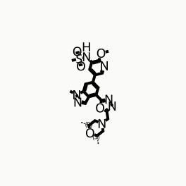 COc1ncc(-c2cc(-c3nnc(CN4C[C@@H](C)O[C@@H](C)C4)o3)c3cnn(C)c3c2)cc1NS(C)(=O)=O